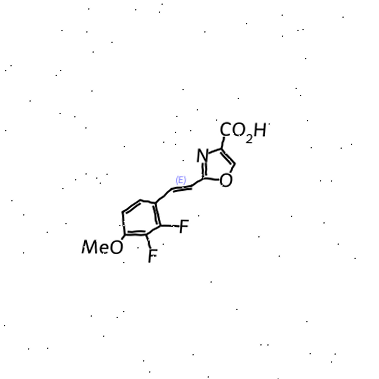 COc1ccc(/C=C/c2nc(C(=O)O)co2)c(F)c1F